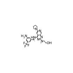 C[C@@H](Nc1nc(N(C)CCO)nc2cnc(N3CCCC3)cc12)c1cc(N)cc(C(F)(F)F)c1